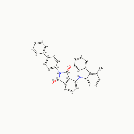 N#Cc1cccc2c1c1ccccc1n2-c1cccc2c1C(=O)N(c1ccc(-c3ccccc3)cc1)C2=O